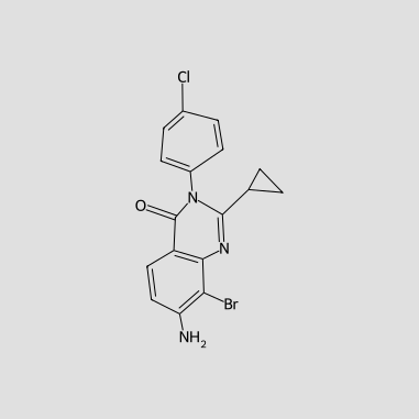 Nc1ccc2c(=O)n(-c3ccc(Cl)cc3)c(C3CC3)nc2c1Br